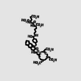 O=C(O)CC[C@H](NC(=O)N[C@@H](CCCCNC(O)C1CCC(CNC(=O)C(Cc2ccc3ccccc3c2)NC(=O)CN2CCN(CC(=O)O)CCN(CC(=O)O)CCN(CC(=O)O)CC2)CC1)C(=O)O)C(=O)O